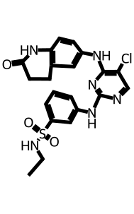 CCNS(=O)(=O)c1cccc(Nc2ncc(Cl)c(Nc3ccc4c(c3)CCC(=O)N4)n2)c1